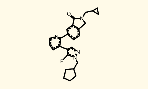 O=C1c2cc(-c3ncccc3-c3cnn(CC4CCCC4)c3F)ccc2CN1CC1CC1